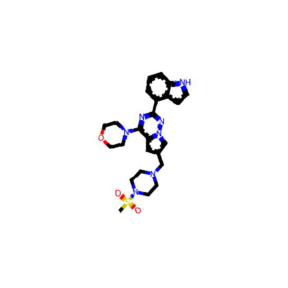 CS(=O)(=O)N1CCN(Cc2cc3c(N4CCOCC4)nc(-c4cccc5[nH]ccc45)nn3c2)CC1